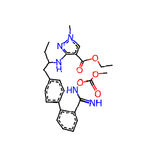 CCOC(=O)c1cn(C)nc1NC(CC)Cc1ccc(-c2ccccc2C(=N)NOC(=O)OC)cc1